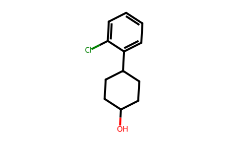 OC1CC[C](c2ccccc2Cl)CC1